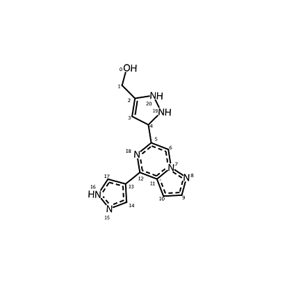 OCC1=CC(c2cn3nccc3c(-c3cn[nH]c3)n2)NN1